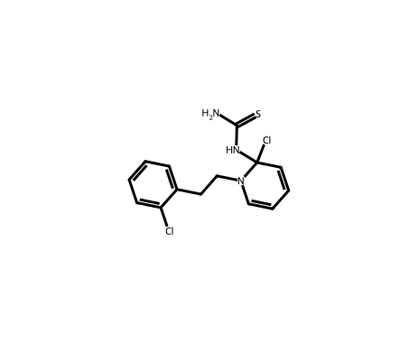 NC(=S)NC1(Cl)C=CC=CN1CCc1ccccc1Cl